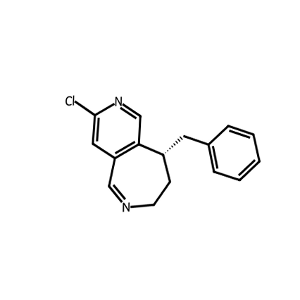 Clc1cc2c(cn1)[C@H](Cc1ccccc1)CCN=C2